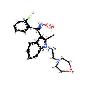 Cc1c(/C(=N\O)c2ccccc2F)c2ccccc2n1CCN1CCOCC1